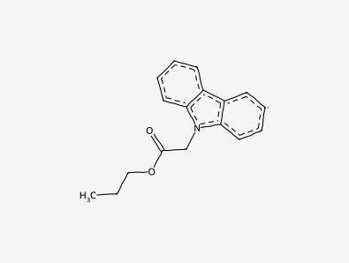 CCCOC(=O)Cn1c2cc[c]cc2c2ccccc21